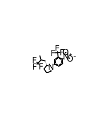 CC(C[C@H]1CCCN1c1ccc([N+](=O)[O-])c(C(F)(F)F)c1)C(F)(F)F